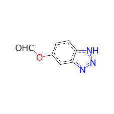 O=COc1ccc2[nH]nnc2c1